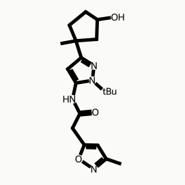 Cc1cc(CC(=O)Nc2cc(C3(C)CCC(O)C3)nn2C(C)(C)C)on1